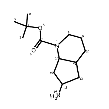 CC(C)(C)OC(=O)N1CCCC2CC(N)CC21